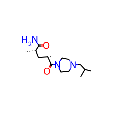 CC(C)CN1CCN(C(=O)[CH]C[C@H](C)C(N)=O)CC1